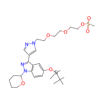 CC(C)(C)[Si](C)(C)Oc1ccc2c(c1)c(-c1cnn(CCOCCOCCOS(C)(=O)=O)c1)nn2C1CCCCO1